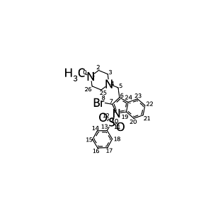 CN1CCN(Cc2c(Br)n(S(=O)(=O)c3ccccc3)c3ccccc23)CC1